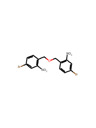 O=[N+]([O-])c1cc(Br)ccc1COCc1ccc(Br)cc1[N+](=O)[O-]